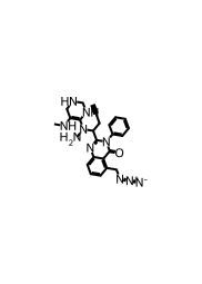 C#CCC(c1nc2cccc(CN=[N+]=[N-])c2c(=O)n1-c1ccccc1)N(N)C1=C(NC)CNCN1